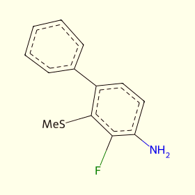 CSc1c(-c2ccccc2)ccc(N)c1F